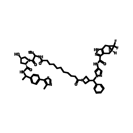 Cc1ncsc1-c1ccc(C(C)NC(=O)[C@@H]2C[C@@H](O)CN2C(=O)C(NC(=O)CCCCCCCCCC(=O)N2CC(C(c3ccccc3)n3cc(NC(=O)c4n[nH]c5c4C[C@@H]4C(F)(F)[C@]4(C)C5)cn3)C2)C(C)(C)C)cc1